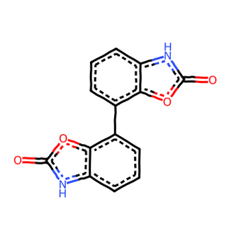 O=c1[nH]c2cccc(-c3cccc4[nH]c(=O)oc34)c2o1